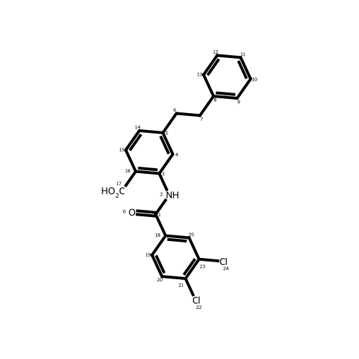 O=C(Nc1cc(CCc2ccccc2)ccc1C(=O)O)c1ccc(Cl)c(Cl)c1